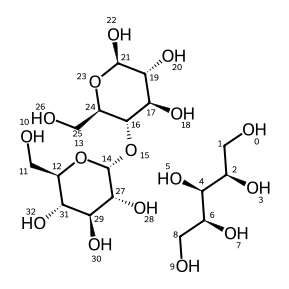 OC[C@@H](O)[C@H](O)[C@@H](O)CO.OC[C@H]1O[C@H](O[C@H]2[C@H](O)[C@@H](O)[C@H](O)O[C@@H]2CO)[C@H](O)[C@@H](O)[C@@H]1O